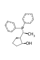 C[C@@H]([C@@H]1CCC[C@@H]1O)P(c1ccccc1)c1ccccc1